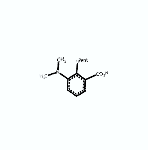 CCCCCc1c(C(=O)O)cccc1N(C)C